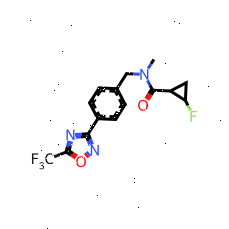 CN(Cc1ccc(-c2noc(C(F)(F)F)n2)cc1)C(=O)C1CC1F